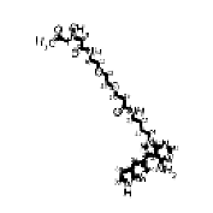 CC(=O)CN(C)CC(=O)NCCOCCOCCC(=O)NCCCCn1nc(-c2cnc3[nH]ccc3c2)c2c(N)ncnc21